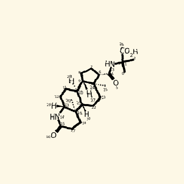 CC(C)(NC(=O)[C@H]1CC[C@H]2[C@@H]3CC[C@H]4NC(=O)CC[C@]4(C)[C@H]3CC[C@]12C)C(=O)O